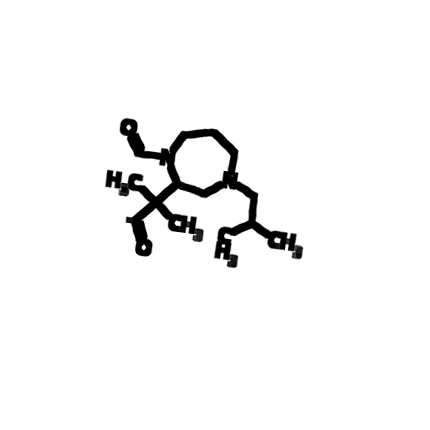 CC(C)CN1CCCN(C=O)C(C(C)(C)[C]=O)C1